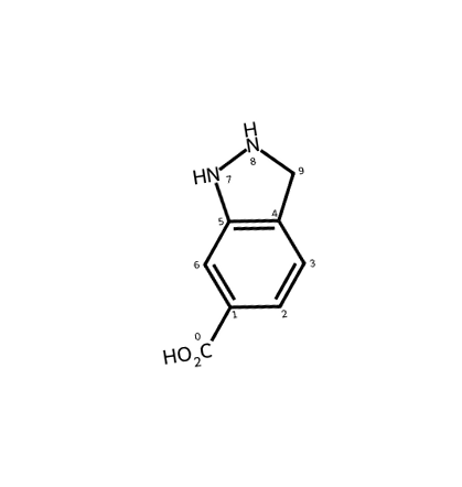 O=C(O)c1ccc2c(c1)NNC2